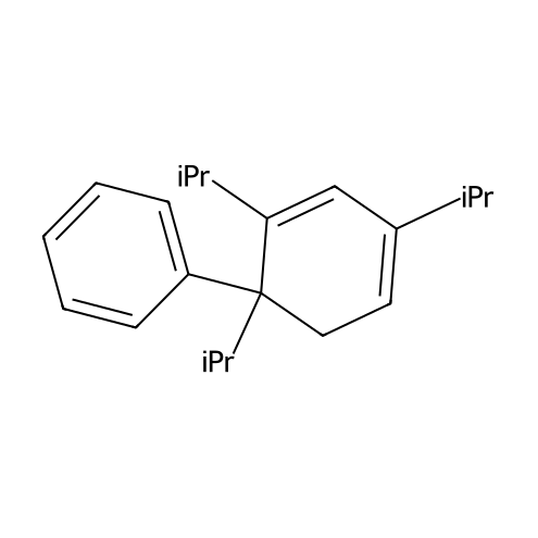 CC(C)C1=CCC(c2ccccc2)(C(C)C)C(C(C)C)=C1